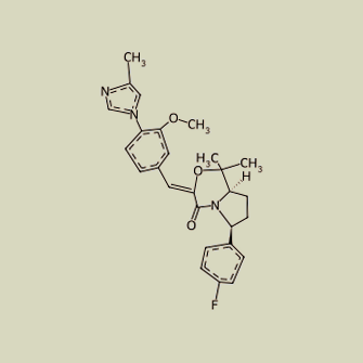 COc1cc(/C=C2\OC(C)(C)[C@H]3CC[C@@H](c4ccc(F)cc4)N3C2=O)ccc1-n1cnc(C)c1